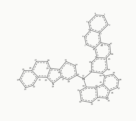 c1ccc2c(c1)ccc1c3cc(N(c4ccc5c(c4)sc4c6ccccc6ccc54)c4cccc5oc6ccccc6c45)ccc3ccc21